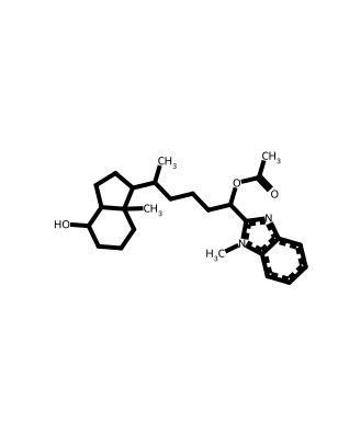 CC(=O)OC(CCCC(C)C1CCC2C(O)CCCC12C)c1nc2ccccc2n1C